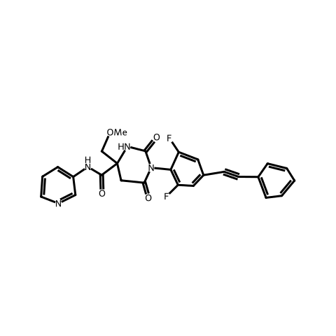 COCC1(C(=O)Nc2cccnc2)CC(=O)N(c2c(F)cc(C#Cc3ccccc3)cc2F)C(=O)N1